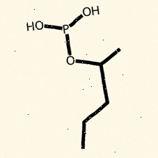 CCCC(C)OP(O)O